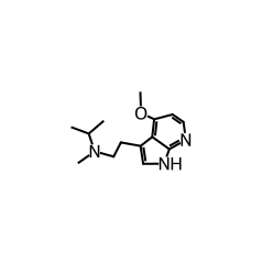 COc1ccnc2[nH]cc(CCN(C)C(C)C)c12